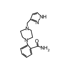 NC(=O)c1ccccc1N1CCN(Cc2cc[nH]n2)CC1